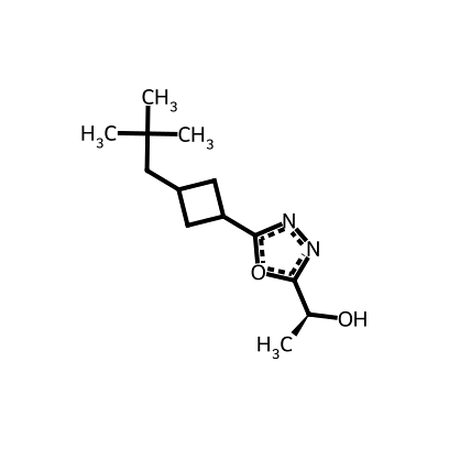 C[C@H](O)c1nnc(C2CC(CC(C)(C)C)C2)o1